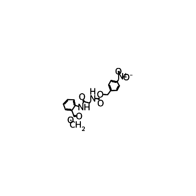 [CH2]OC(=O)c1ccccc1NC(=O)CNC(=O)OCc1ccc([N+](=O)[O-])cc1